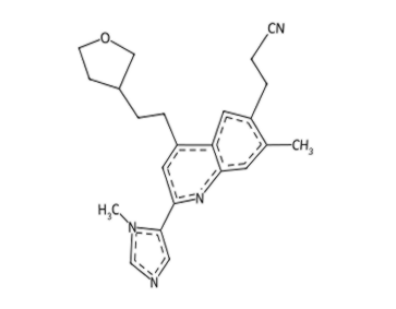 Cc1cc2nc(-c3cncn3C)cc(CCC3CCOC3)c2cc1CCC#N